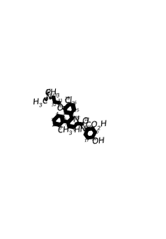 Cc1ccccc1-c1ccc(C(=O)N[C@]2(C(=O)O)CC[C@H](O)CC2)nc1-c1ccc(Cl)c(OCCCN(C)C)c1